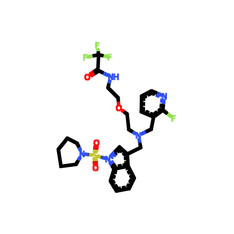 O=C(NCCOCCN(Cc1cccnc1F)Cc1cn(S(=O)(=O)N2CCCCC2)c2ccccc12)C(F)(F)F